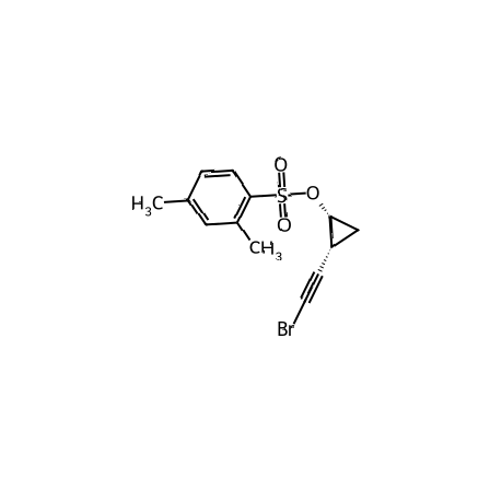 Cc1ccc(S(=O)(=O)O[C@@H]2C[C@@H]2C#CBr)c(C)c1